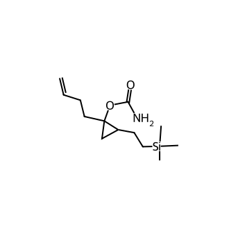 C=CCCC1(OC(N)=O)CC1CC[Si](C)(C)C